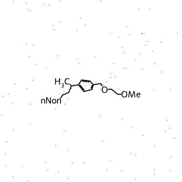 CCCCCCCCCCCC(C)c1ccc(COCCOC)cc1